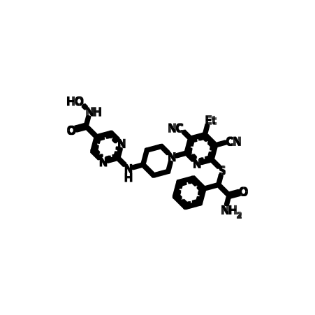 CCc1c(C#N)c(SC(C(N)=O)c2ccccc2)nc(N2CCC(Nc3ncc(C(=O)NO)cn3)CC2)c1C#N